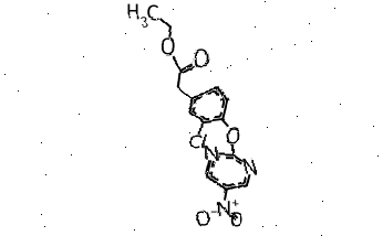 CCOC(=O)Cc1ccc(Oc2ncc([N+](=O)[O-])cn2)c(Cl)c1